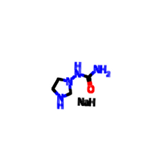 NC(=O)NN1CCNC1.[NaH]